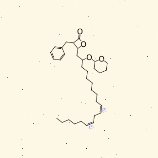 CCCCC/C=C\C/C=C\CCCCCCCC(CC1OC(=O)C1Cc1ccccc1)OC1CCCCO1